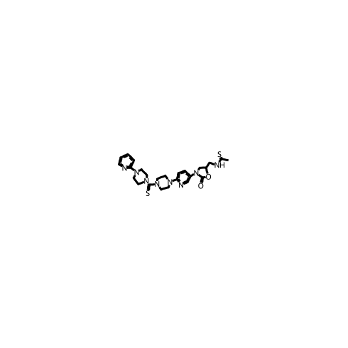 CC(=S)NCC1CN(c2ccc(N3CCN(C(=S)N4CCN(c5ccccn5)CC4)CC3)nc2)C(=O)O1